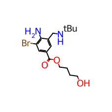 CC(C)(C)NCc1cc(C(=O)OCCCCO)cc(Br)c1N